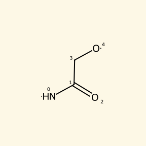 [NH]C(=O)C[O]